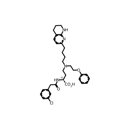 O=C(Cc1cccc(Cl)c1)N[C@@H](CCN(CCCCc1ccc2c(n1)NCCC2)CCOc1ccccc1)C(=O)O